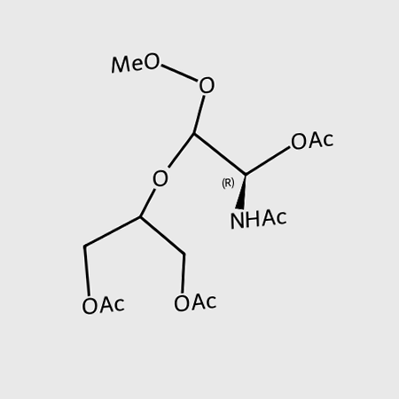 COOC(OC(COC(C)=O)COC(C)=O)[C@H](NC(C)=O)OC(C)=O